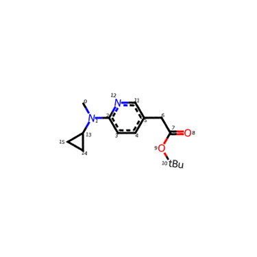 CN(c1ccc(CC(=O)OC(C)(C)C)cn1)C1CC1